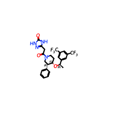 C[C@@H](O[C@H]1CCN(C(=O)Cc2n[nH]c(=O)[nH]2)C[C@H]1c1ccccc1)c1cc(C(F)(F)F)cc(C(F)(F)F)c1